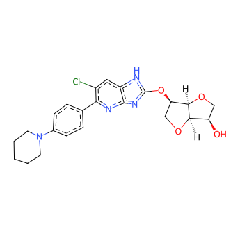 O[C@@H]1CO[C@H]2[C@@H]1OC[C@H]2Oc1nc2nc(-c3ccc(N4CCCCC4)cc3)c(Cl)cc2[nH]1